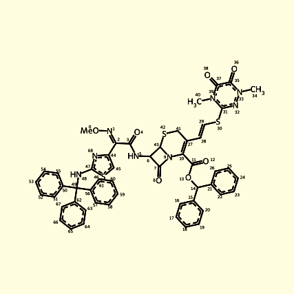 CO/N=C(/C(=O)NC1C(=O)N2C(C(=O)OC(c3ccccc3)c3ccccc3)=C(/C=C/Sc3nn(C)c(=O)c(=O)n3C)CSC12)c1csc(NC(c2ccccc2)(c2ccccc2)c2ccccc2)n1